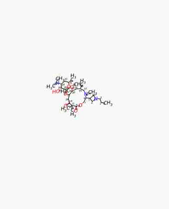 CCCN1CC(C2COC(=O)C(C)(C)C(=O)C[C@@H](O[C@@H]3O[C@H](C)C[C@H](N(C)C)[C@H]3O)[C@](C)(OC)C[C@@H](C)CN2C)C1